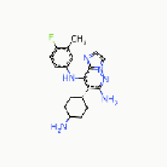 Cc1cc(Nc2c3nccn3nc(N)c2[C@H]2CC[C@H](N)CC2)ccc1F